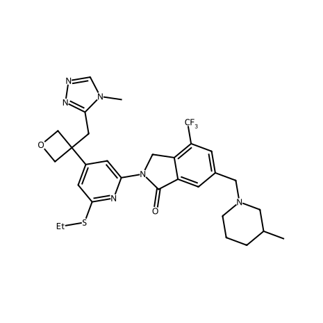 CCSc1cc(C2(Cc3nncn3C)COC2)cc(N2Cc3c(cc(CN4CCCC(C)C4)cc3C(F)(F)F)C2=O)n1